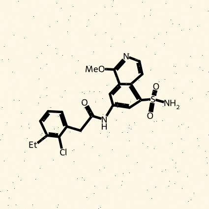 CCc1cccc(CC(=O)Nc2cc(S(N)(=O)=O)c3ccnc(OC)c3c2)c1Cl